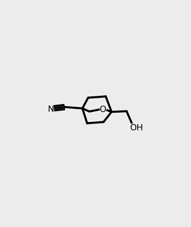 N#CC12CCC(CO)(CC1)OC2